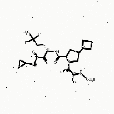 CC(F)(F)CC[C@H](NC(=O)C1CC(C2CCC2)CN1C(=O)[C@@H](NC(=O)O)C(C)(C)C)C(=O)C(=O)NC1CC1